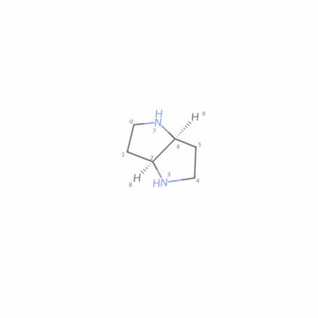 C1C[C@@H]2NCC[C@@H]2N1